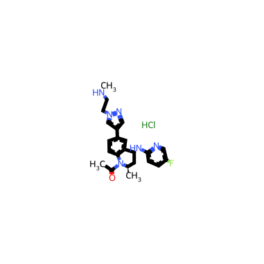 CNCCn1cc(-c2ccc3c(c2)[C@H](Nc2ccc(F)cn2)C[C@H](C)N3C(C)=O)cn1.Cl